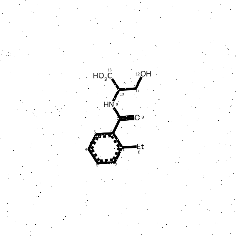 CCc1ccccc1C(=O)NC(CO)C(=O)O